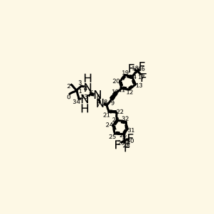 CC1(C)CNC(=NN=C(C#Cc2ccc(C(F)(F)F)cc2)C=Cc2ccc(C(F)(F)F)cc2)NC1